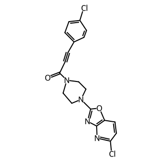 O=C(C#Cc1ccc(Cl)cc1)N1CCN(c2nc3nc(Cl)ccc3o2)CC1